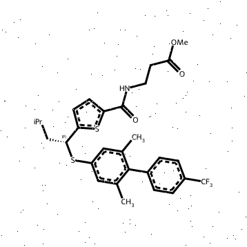 COC(=O)CCNC(=O)c1ccc([C@@H](CC(C)C)Sc2cc(C)c(-c3ccc(C(F)(F)F)cc3)c(C)c2)s1